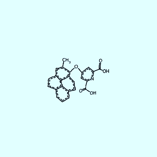 Cc1cc2ccc3cccc4ccc(c1Oc1cc(C(=O)O)nc(C(=O)O)c1)c2c34